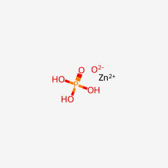 O=P(O)(O)O.[O-2].[Zn+2]